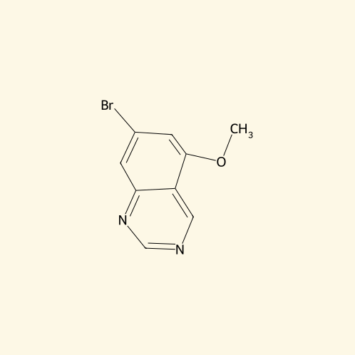 COc1cc(Br)cc2ncncc12